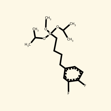 CO[Si](CCCCc1ccc(F)c(F)c1)(OC(C)C)OC(C)C